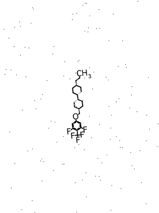 CCC[C@H]1CC[C@H]([C@H]2CC[C@H](COc3cc(F)c(C(F)(F)F)c(F)c3)CC2)CC1